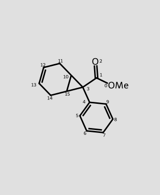 COC(=O)C1(c2ccccc2)C2CC=CCC21